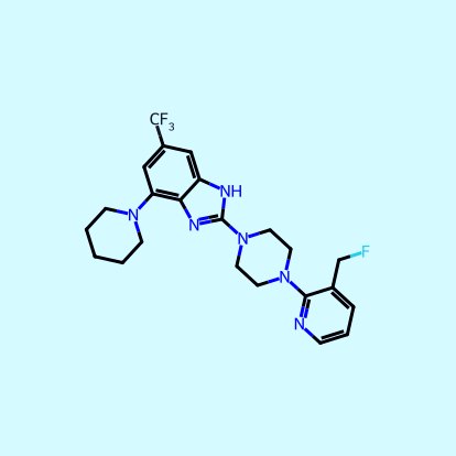 FCc1cccnc1N1CCN(c2nc3c(N4CCCCC4)cc(C(F)(F)F)cc3[nH]2)CC1